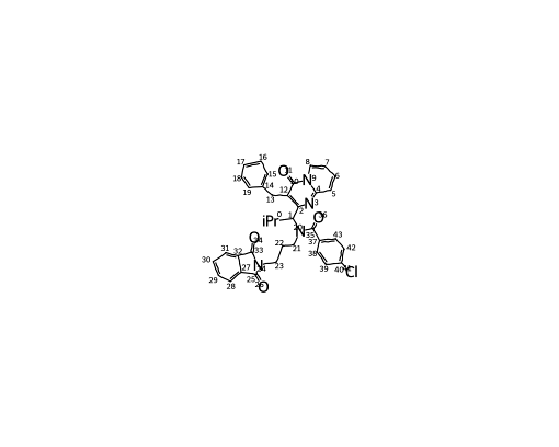 CC(C)C(c1nc2ccccn2c(=O)c1Cc1ccccc1)N(CCCN1C(=O)c2ccccc2C1=O)C(=O)c1ccc(Cl)cc1